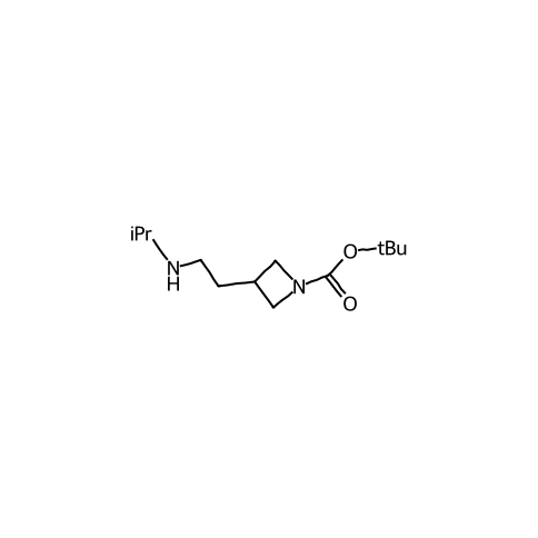 CC(C)NCCC1CN(C(=O)OC(C)(C)C)C1